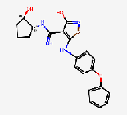 N=C(N[C@@H]1CCC[C@H]1O)c1c(O)nsc1Nc1ccc(Oc2ccccc2)cc1